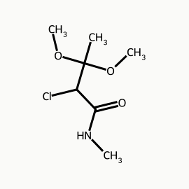 CNC(=O)C(Cl)C(C)(OC)OC